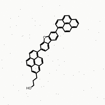 OCCCc1cc2ccc3ccc(-c4ccc5c(c4)oc4cc(-c6ccc7ccc8cccc9ccc6c7c89)ccc45)c4ccc(c1)c2c34